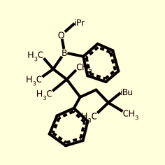 CCC(C)C(C)(C)CC(c1ccccc1)C(C)(C)C(C)(C)B(OC(C)C)c1ccccc1